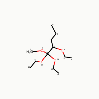 CCCC(OCC)C(O[SiH3])(OCC)OCC